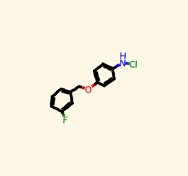 Fc1cccc(COc2ccc(NCl)cc2)c1